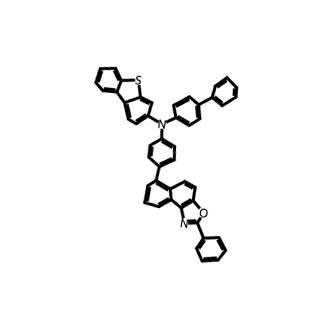 c1ccc(-c2ccc(N(c3ccc(-c4cccc5c4ccc4oc(-c6ccccc6)nc45)cc3)c3ccc4c(c3)sc3ccccc34)cc2)cc1